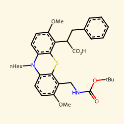 CCCCCCN1c2ccc(OC)c(CNC(=O)OC(C)(C)C)c2Sc2c1ccc(OC)c2C(Cc1ccccc1)C(=O)O